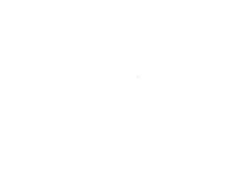 O=Cc1cc(NCCOCCOc2cc(CC(=O)O)ccc2F)ccc1C(=O)O